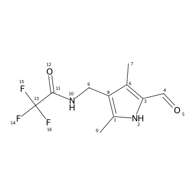 Cc1[nH]c(C=O)c(C)c1CNC(=O)C(F)(F)F